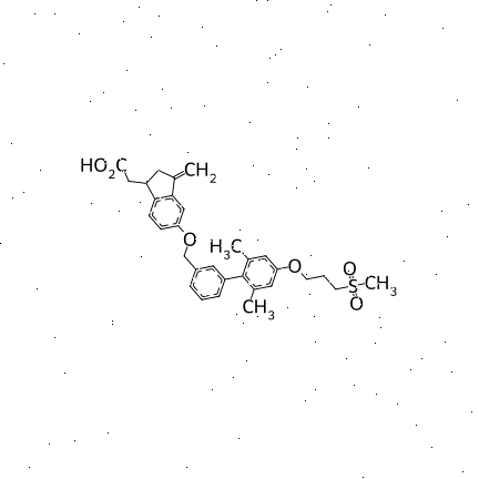 C=C1CC(CC(=O)O)c2ccc(OCc3cccc(-c4c(C)cc(OCCCS(C)(=O)=O)cc4C)c3)cc21